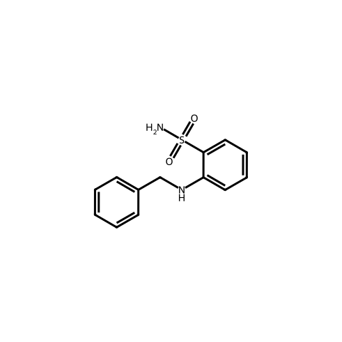 NS(=O)(=O)c1ccccc1NCc1ccccc1